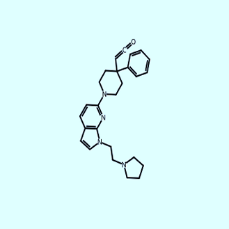 O=C=CC1(c2ccccc2)CCN(c2ccc3ccn(CCN4CCCC4)c3n2)CC1